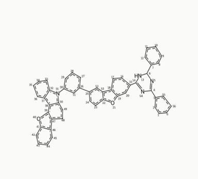 c1ccc(C2=NC(c3ccccc3)NC(c3ccc4c(c3)oc3ccc(-c5cccc(-n6c7ccccc7c7c8oc9ccccc9c8ccc76)c5)cc34)=N2)cc1